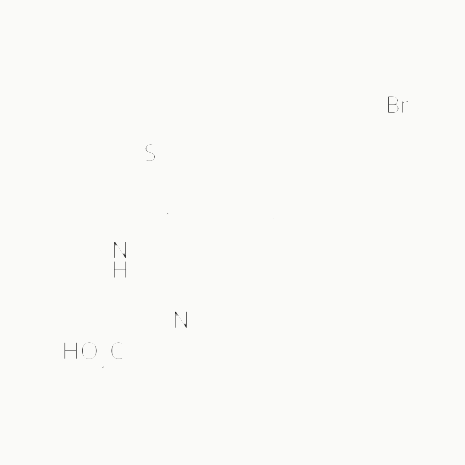 O=C(O)N1CCCC1C1(c2ccc(Br)cc2)NC=CS1